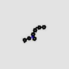 Cc1cccc(-c2ccc(-n3c4ccccc4c4cc(-c5ccc(Cc6ccc(C7=CC=C=C=C7)cc6)cc5)ccc43)cc2)c1